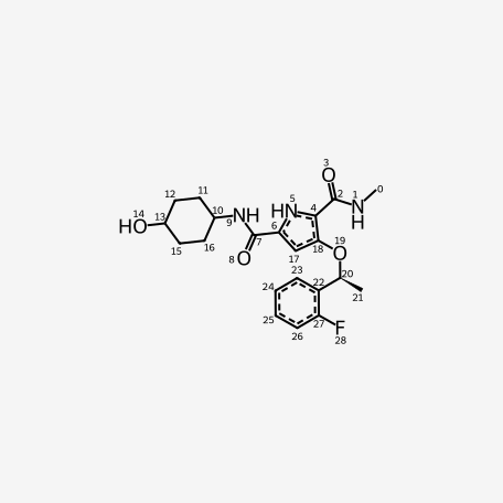 CNC(=O)c1[nH]c(C(=O)NC2CCC(O)CC2)cc1O[C@@H](C)c1ccccc1F